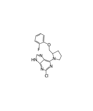 Fc1ccccc1OCC1CCCN1c1nc(Cl)nc2[nH]cnc12